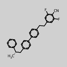 C[C@@H](Cc1ccc(-c2ccc(CCc3cc(F)c(C#N)c(F)c3)cc2)cc1)c1ccccc1